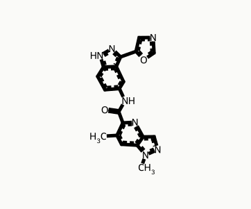 Cc1cc2c(cnn2C)nc1C(=O)Nc1ccc2[nH]nc(-c3cnco3)c2c1